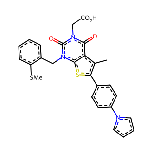 CSc1ccccc1Cn1c(=O)n(CC(=O)O)c(=O)c2c(C)c(-c3ccc(-n4cccc4)cc3)sc21